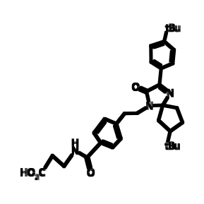 CC(C)(C)c1ccc(C2=NC3(CCC(C(C)(C)C)C3)N(CCc3ccc(C(=O)NCCC(=O)O)cc3)C2=O)cc1